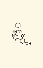 COc1cc(O)ccc1-c1cc(NC(=O)C2CCCCC2)ncc1F